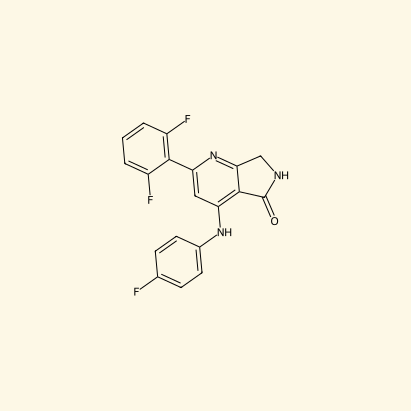 O=C1NCc2nc(-c3c(F)cccc3F)cc(Nc3ccc(F)cc3)c21